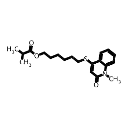 CC(C)C(=O)OCCCCCCSc1cc(=O)n(C)c2ccccc12